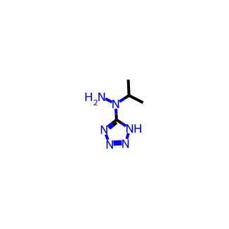 CC(C)N(N)c1nnn[nH]1